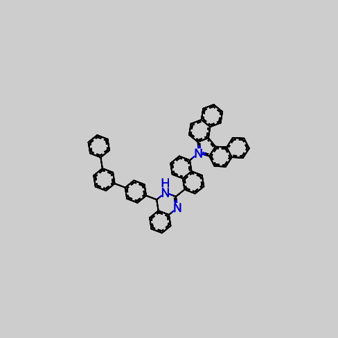 c1ccc(-c2cccc(-c3ccc(C4NC(c5cccc6c(-n7c8ccc9ccccc9c8c8c9ccccc9ccc87)cccc56)=Nc5ccccc54)cc3)c2)cc1